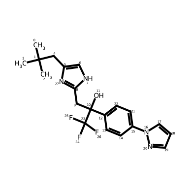 CC(C)(C)Cc1c[nH]c(CC(O)(c2ccc(-n3cccn3)cc2)C(F)(F)F)n1